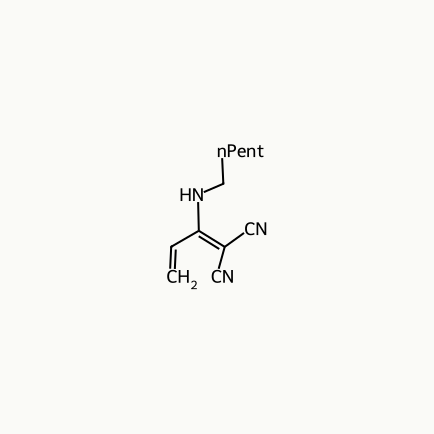 C=CC(NCCCCCC)=C(C#N)C#N